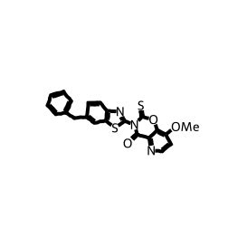 COc1ccnc2c(=O)n(-c3nc4ccc(Cc5ccccc5)cc4s3)c(=S)oc12